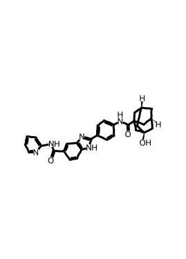 O=C(Nc1ccccn1)c1ccc2[nH]c(-c3ccc(NC(=O)C45C[C@H]6C[C@@H](C4)C[C@](O)(C6)C5)cc3)nc2c1